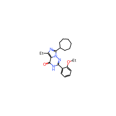 CCOc1ccccc1-c1nn2c(C3CCCCCC3)nc(CC)c2c(=O)[nH]1